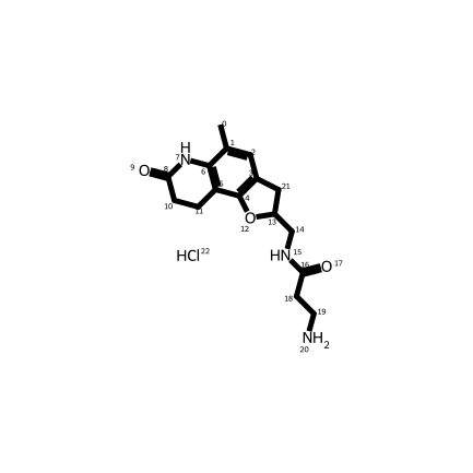 Cc1cc2c(c3c1NC(=O)CC3)OC(CNC(=O)CCN)C2.Cl